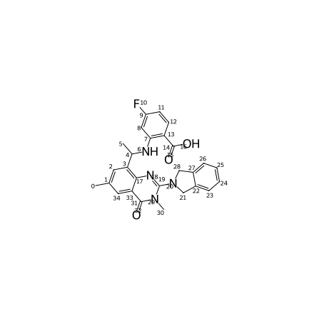 Cc1cc(C(C)Nc2cc(F)ccc2C(=O)O)c2nc(N3Cc4ccccc4C3)n(C)c(=O)c2c1